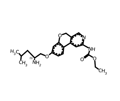 CCOC(=O)Nc1cc2c(cn1)COc1cc(OC[C@@H](N)CC(C)C)ccc1-2